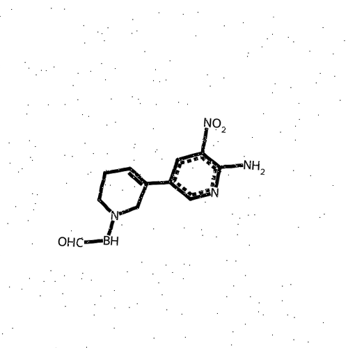 Nc1ncc(C2=CCCN(BC=O)C2)cc1[N+](=O)[O-]